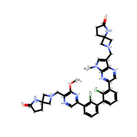 COc1nc(-c2cccc(-c3cccc(-c4cnc5c(CN6CC7(CCC(=O)N7)C6)cn(C)c5n4)c3Cl)c2Cl)cnc1CN1CC2(CCC(=O)N2)C1